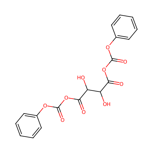 O=C(OC(=O)C(O)C(O)C(=O)OC(=O)Oc1ccccc1)Oc1ccccc1